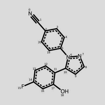 N#Cc1ccc(-n2nccc2-c2ccc(F)cc2O)cc1